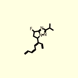 C=C/C=C\C=C(/C=C)C1CC(F)c2nc(C(C)C)nn21